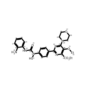 CCOC(=O)c1nc(-c2ccc(N(S)C(=O)Nc3ccccc3N)cc2)nc(N2CCOCC2)c1OCC